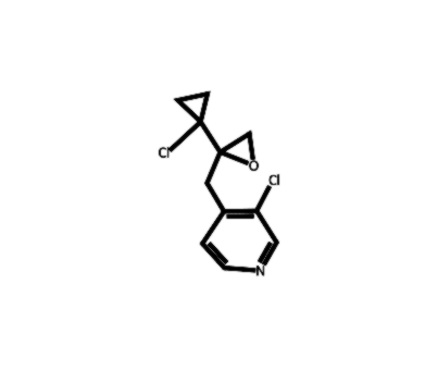 Clc1cnccc1CC1(C2(Cl)CC2)CO1